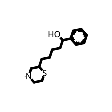 OC(CCCCC1C[N]CCS1)c1ccccc1